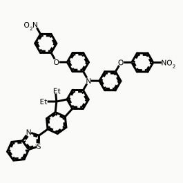 CCC1(CC)c2cc(-c3nc4ccccc4s3)ccc2-c2ccc(N(c3cccc(Oc4ccc([N+](=O)[O-])cc4)c3)c3cccc(Oc4ccc([N+](=O)[O-])cc4)c3)cc21